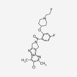 Cc1nc2c3c(nn2c(C)c1Cl)CN(C(=O)c1ccc(F)cc1OC1CCN(CCF)CC1)C3